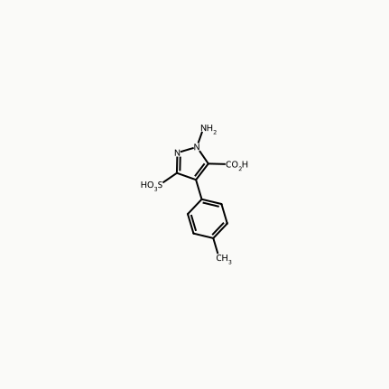 Cc1ccc(-c2c(S(=O)(=O)O)nn(N)c2C(=O)O)cc1